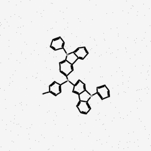 [CH2]c1ccc(N(c2ccc3c(c2)c2ccccc2n3-c2ccccc2)c2ccc3c(c2)c2ccccc2n3-c2ccccc2)cc1